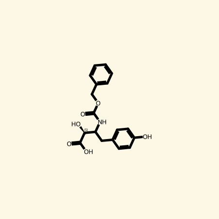 O=C(NC(Cc1ccc(O)cc1)[C@H](O)C(=O)O)OCc1ccccc1